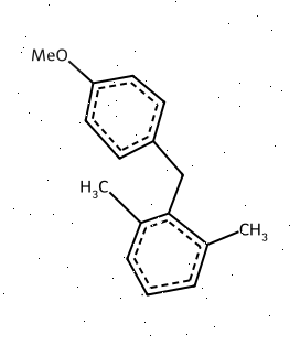 COc1ccc(Cc2c(C)c[c]cc2C)cc1